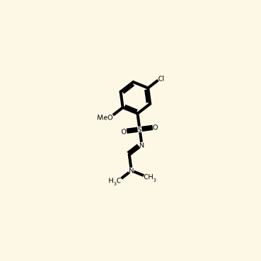 COc1ccc(Cl)cc1S(=O)(=O)N=CN(C)C